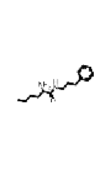 CCCC[C@@H](N)C(=O)NCCCc1ccccc1